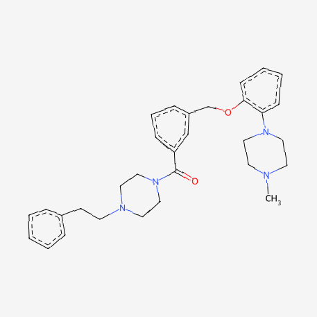 CN1CCN(c2ccccc2OCc2cccc(C(=O)N3CCN(CCc4ccccc4)CC3)c2)CC1